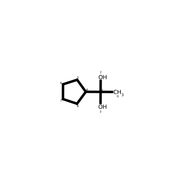 CC(O)(O)C1CCCC1